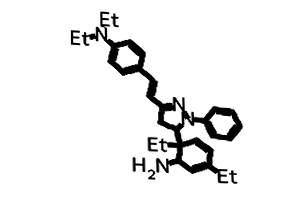 CCC1=CC(N)C(CC)(C2CC(C=Cc3ccc(N(CC)CC)cc3)=NN2c2ccccc2)C=C1